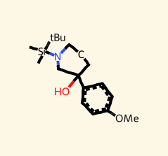 COc1ccc(C2(O)CCCN([Si](C)(C)C(C)(C)C)C2)cc1